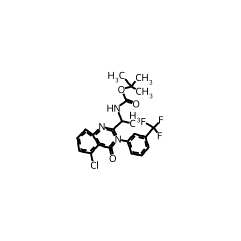 CC(NC(=O)OC(C)(C)C)c1nc2cccc(Cl)c2c(=O)n1-c1cccc(C(F)(F)F)c1